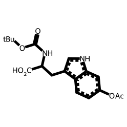 CC(=O)Oc1ccc2c(CC(NC(=O)OC(C)(C)C)C(=O)O)c[nH]c2c1